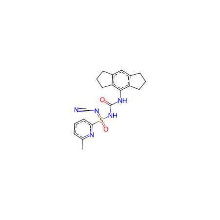 Cc1cccc(S(=O)(=NC#N)NC(=O)Nc2c3c(cc4c2CCC4)CCC3)n1